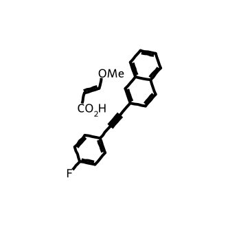 COC=CC(=O)O.Fc1ccc(C#Cc2ccc3ccccc3c2)cc1